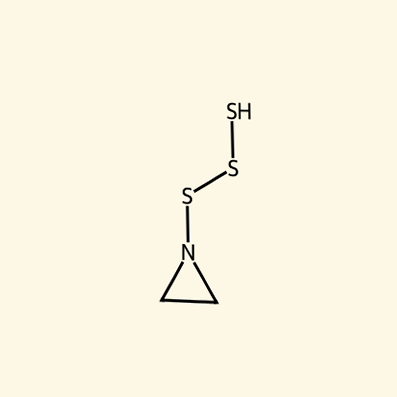 SSSN1CC1